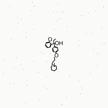 CCC(O)(c1ccc(OCCCN2CCCCC2)cc1)c1ccccc1OC